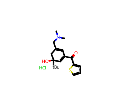 CN(C)CC1=CC(C(=O)c2cccs2)=CC(O)(C(C)(C)C)C1.Cl